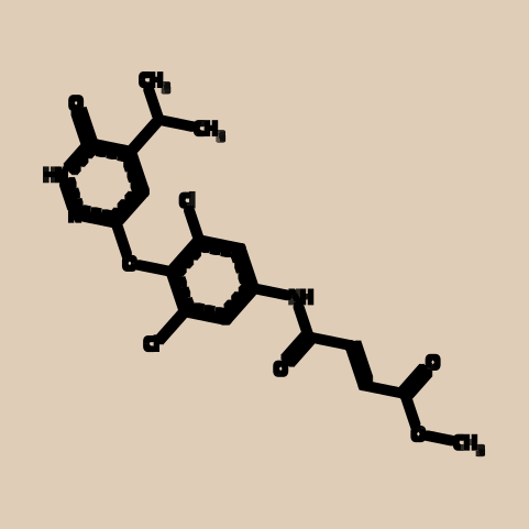 COC(=O)/C=C/C(=O)Nc1cc(Cl)c(Oc2cc(C(C)C)c(=O)[nH]n2)c(Cl)c1